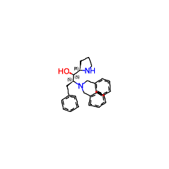 O[C@@H]([C@H]1CCCN1)[C@H](Cc1ccccc1)N(Cc1ccccc1)Cc1ccccc1